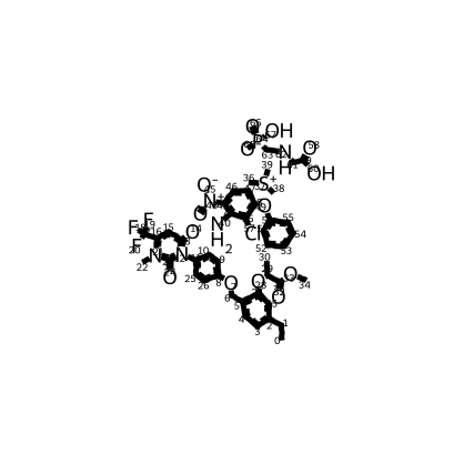 CCc1ccc(COc2ccc(-n3c(=O)cc(C(F)(F)F)n(C)c3=O)cc2)c(OC(C)C(=O)OC)c1.C[S+](C)C.Nc1c([N+](=O)[O-])ccc(Oc2ccccc2)c1Cl.O=C(O)CNCP(=O)([O-])O